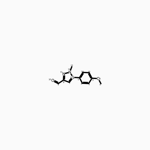 COc1ccc(S2=CC(C=O)=NN2C)cc1